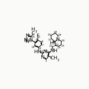 Cc1cnc(Nc2ccc(F)c(-n3nnnc3C)c2)nc1NC[C@@H]1CCCN2CCCC[C@H]12